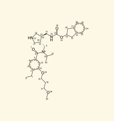 CCc1ccc(C(=O)N(C[C@@H]2CNC[C@H]2CNC(=O)OC2Cc3ccccc3C2)C(C)C)cc1OCCCOC